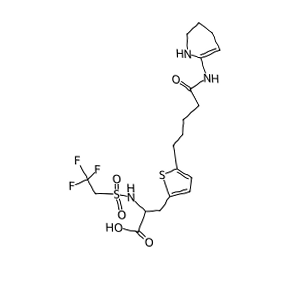 O=C(CCCCc1ccc(CC(NS(=O)(=O)CC(F)(F)F)C(=O)O)s1)NC1=CCCCN1